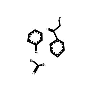 CC(=O)c1ccccc1.CC(C)CC(=O)c1ccccc1.CCC(=O)CC